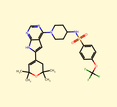 CC1(C)C=C(c2cc3c(N4CCC(NS(=O)(=O)c5ccc(OC(F)(F)F)cc5)CC4)ncnc3[nH]2)CC(C)(C)O1